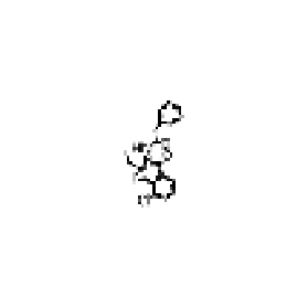 CCc1nc2c(Cl)cccc2c(=O)n1NC(=O)Cc1ccccc1